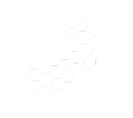 c1cc(-c2cccc(N(c3cccc4ccccc34)c3cccc4sc5ccccc5c34)c2)cc(N(c2cccc3ccccc23)c2cccc3sc4ccccc4c23)c1